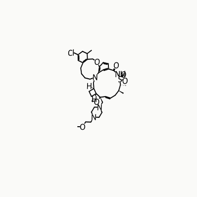 COCCN1CCN(C[C@]2(OC)/C=C/C[C@H](C)[C@@H](C)S(=O)(=O)NC(=O)c3ccc4c(c3)N(CCCCC3=C(CO4)C(C)CC(Cl)=C3)C[C@@H]3CC[C@H]32)CC1